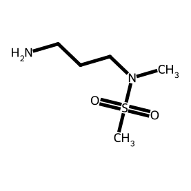 CN(CCCN)S(C)(=O)=O